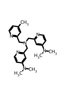 Cc1ccnc(CN(Cc2cc(N(C)C)ccn2)Cc2cc(N(C)C)ccn2)c1